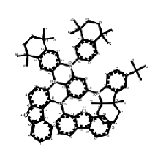 CC(C)(C)c1ccc2c(c1)C1(C)CCCCC1(C)N2c1cc2c3c(c1)N(c1cccc4c1oc1ccccc14)c1c(ccc4oc5ccccc5c14)B3c1cc3c(cc1N2c1ccc2c(c1)C(C)(C)CCC2(C)C)C(C)(C)CCC3(C)C